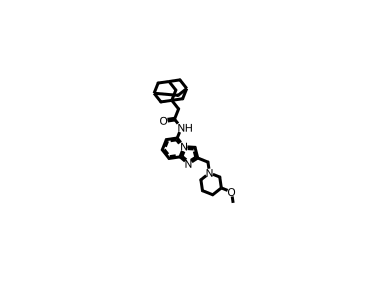 COC1CCCN(Cc2cn3c(NC(=O)CC45CC6CC(CC(C6)C4)C5)cccc3n2)C1